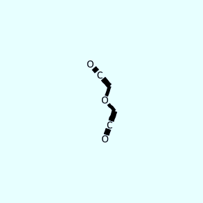 O=C=COC=C=O